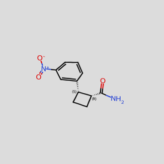 NC(=O)[C@@H]1CC[C@@H]1c1cccc([N+](=O)[O-])c1